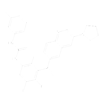 O=C(Nc1cccc(F)c1)Nc1cc(F)c(F)c(C(=O)c2ccc3ncc(N4CCCC4)cc3c2)c1F